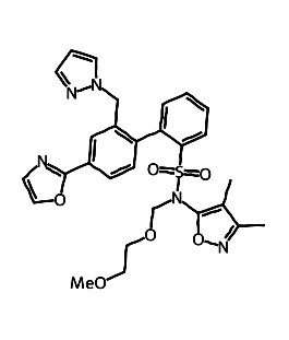 COCCOCN(c1onc(C)c1C)S(=O)(=O)c1ccccc1-c1ccc(-c2ncco2)cc1Cn1cccn1